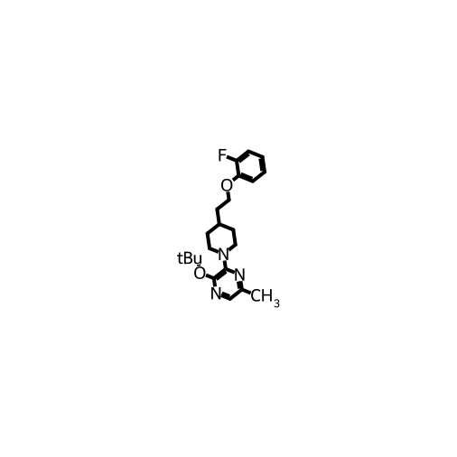 Cc1cnc(OC(C)(C)C)c(N2CCC(CCOc3ccccc3F)CC2)n1